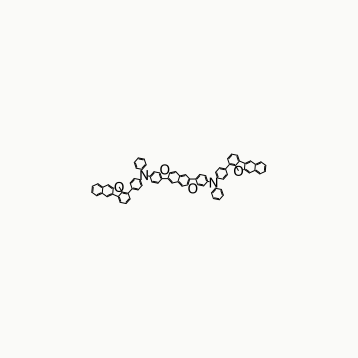 c1ccc(N(c2ccc(-c3cccc4c3oc3cc5ccccc5cc34)cc2)c2ccc3c(c2)oc2cc4cc5c(cc4cc23)oc2cc(N(c3ccccc3)c3ccc(-c4cccc6c4oc4cc7ccccc7cc46)cc3)ccc25)cc1